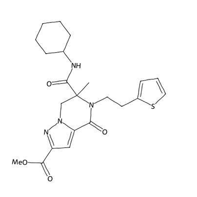 COC(=O)c1cc2n(n1)CC(C)(C(=O)NC1CCCCC1)N(CCc1cccs1)C2=O